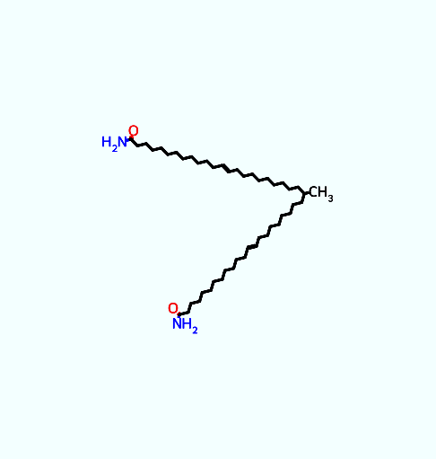 CC(CCCCCCCCC=CCCCCCCCCCCCC(N)=O)CCCCCCCCCC=CCCCCCCCCCCCC(N)=O